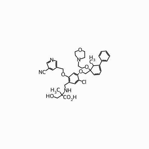 CC1C(c2ccccc2)=CC=CC1(COc1cc(OCc2cncc(C#N)c2)c(CNC(C)(CO)C(=O)O)cc1Cl)OCCN1CCOCC1